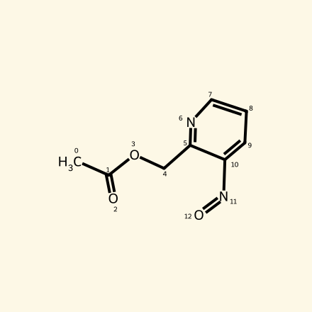 CC(=O)OCc1ncccc1N=O